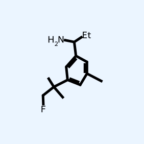 CCC(N)c1cc(C)cc(C(C)(C)CF)c1